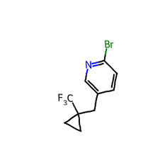 FC(F)(F)C1(Cc2ccc(Br)nc2)CC1